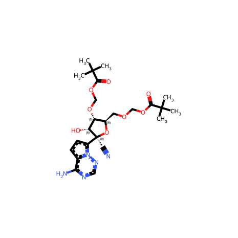 CC(C)(C)C(=O)OCOC[C@H]1O[C@@](C#N)(c2ccc3c(N)ncnn23)[C@H](O)[C@@H]1OCOC(=O)C(C)(C)C